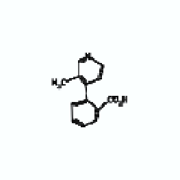 Cc1cnccc1-c1ccccc1C(=O)O